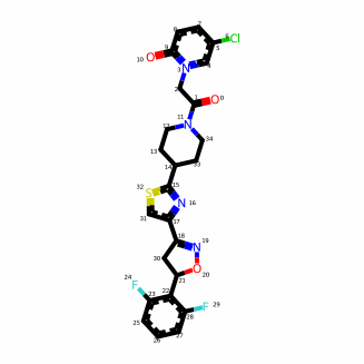 O=C(Cn1cc(Cl)ccc1=O)N1CCC(c2nc(C3=NOC(c4c(F)cccc4F)C3)cs2)CC1